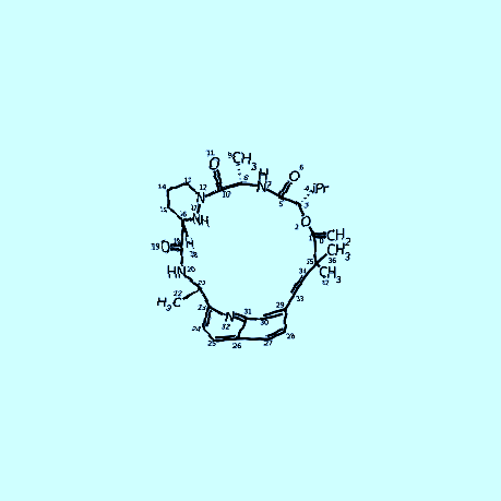 C=C1O[C@@H](C(C)C)C(=O)N[C@@H](C)C(=O)N2CCC[C@H](N2)C(=O)N[C@H](C)c2ccc3ccc(cc3n2)/C=C/C1(C)C